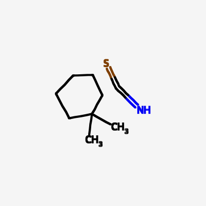 CC1(C)CCCCC1.N=C=S